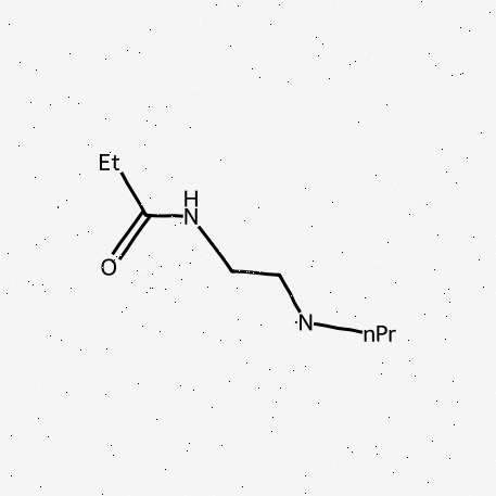 CCC[N]CCNC(=O)CC